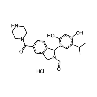 CC(C)c1cc(C2c3ccc(C(=O)N4CCNCC4)cc3CN2C=O)c(O)cc1O.Cl